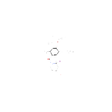 COc1cc(C(=O)N2CC[C@@H](O)C[C@]2(I)C(=O)O)c([N+](=O)[O-])cc1O[Si](C(C)C)(C(C)C)C(C)C